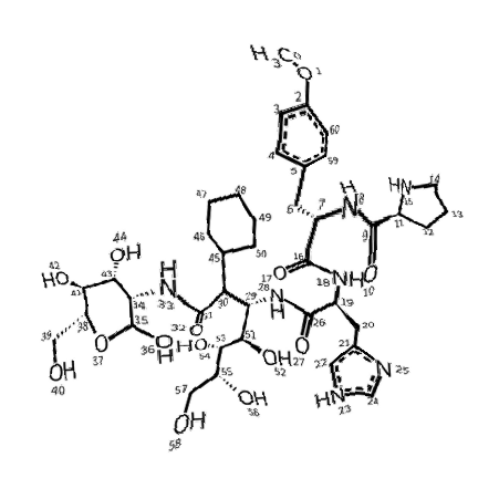 COc1ccc(C[C@H](NC(=O)[C@@H]2CCCN2)C(=O)N[C@@H](Cc2c[nH]cn2)C(=O)N[C@@H](C(C(=O)N[C@@H]2C(O)O[C@H](CO)[C@@H](O)[C@@H]2O)C2CCCCC2)[C@@H](O)[C@@H](O)[C@H](O)CO)cc1